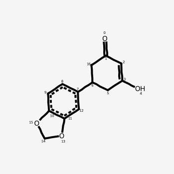 O=C1C=C(O)CC(c2ccc3c(c2)OCO3)C1